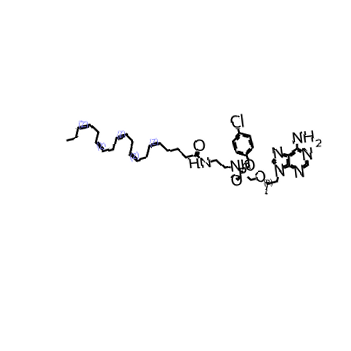 CC/C=C\C/C=C\C/C=C\C/C=C\C/C=C\CCCC(=O)NCCNP(=O)(CO[C@H](C)Cn1cnc2c(N)ncnc21)Oc1ccc(Cl)cc1